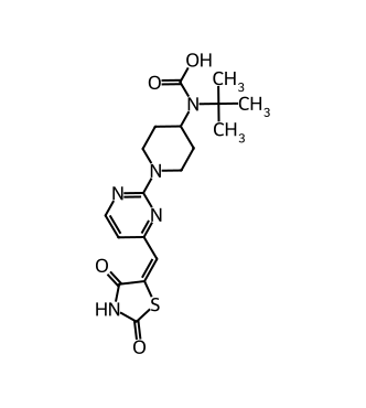 CC(C)(C)N(C(=O)O)C1CCN(c2nccc(/C=C3/SC(=O)NC3=O)n2)CC1